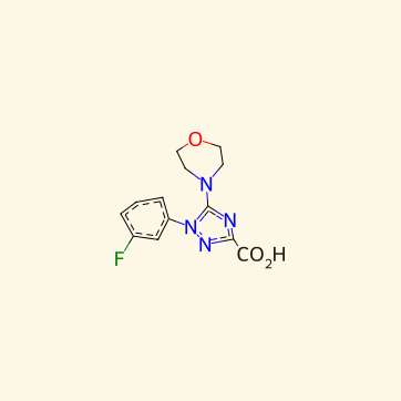 O=C(O)c1nc(N2CCOCC2)n(-c2cccc(F)c2)n1